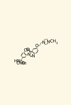 CONC(=O)c1ccc(C)c(-n2cnc3ccc(OCCN4CCN(C)CC4)cc3c2=O)c1